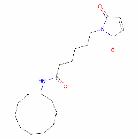 O=C(CCCCCN1C(=O)C=CC1=O)NC1CCCCCCCCC1